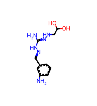 NC(=NNCC(O)O)NN=Cc1cccc(N)c1